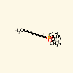 CCCCCCCCCCCCCCOP(=S)(OC(C)(C)C)OC(C)(C)C